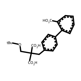 CC(C)(C)OCC(Cc1ccc(-c2ccccc2C(=O)O)cc1)(C(=O)O)C(=O)O